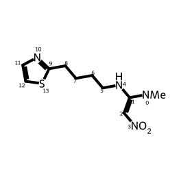 CNC(=C[N+](=O)[O-])NCCCCc1nccs1